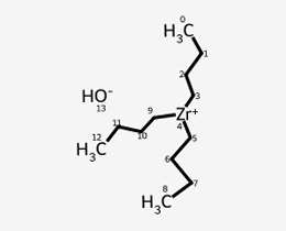 CCC[CH2][Zr+]([CH2]CCC)[CH2]CCC.[OH-]